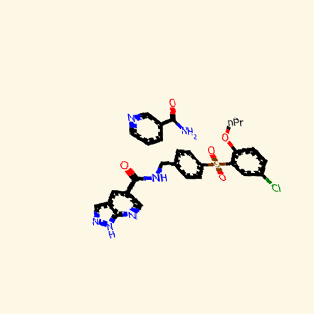 CCCOc1ccc(Cl)cc1S(=O)(=O)c1ccc(CNC(=O)c2cnc3[nH]ncc3c2)cc1.NC(=O)c1cccnc1